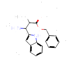 NC(c1cc2ccccc2[nH]1)C(C(=O)O)C(=O)OCc1ccccc1